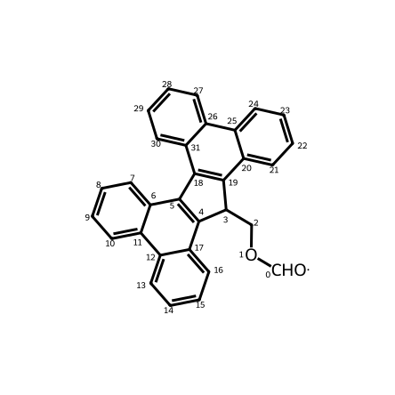 O=[C]OCC1c2c(c3ccccc3c3ccccc23)-c2c1c1ccccc1c1ccccc21